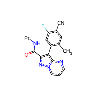 CCNC(=O)c1nn2cccnc2c1-c1cc(F)c(C#N)cc1C